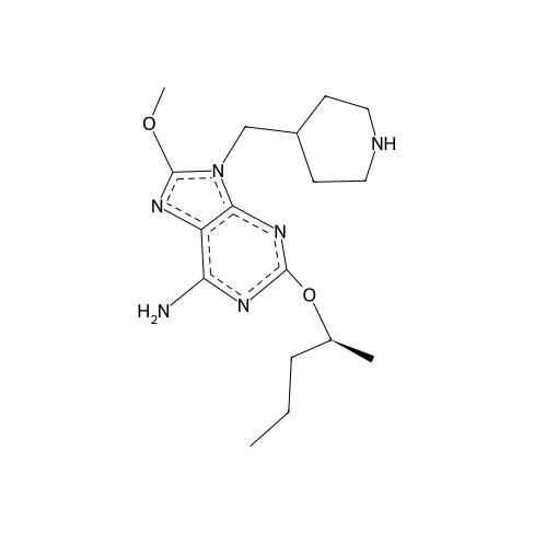 CCC[C@H](C)Oc1nc(N)c2nc(OC)n(CC3CCNCC3)c2n1